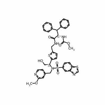 COC(=O)N[C@H](C(=O)NCc1ccc([C@H](CO)N(Cc2ccnc(OC)c2)S(=O)(=O)c2ccc3scnc3c2)s1)C(c1ccccc1)c1ccccc1